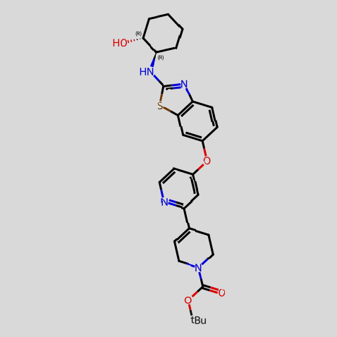 CC(C)(C)OC(=O)N1CC=C(c2cc(Oc3ccc4nc(N[C@@H]5CCCC[C@H]5O)sc4c3)ccn2)CC1